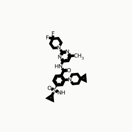 Cc1cc(NC(=O)c2ccc([S@](=N)(=O)C3CC3)cc2N2CCC3(CC2)CC3)nc(N2CCC(F)(F)CC2)n1